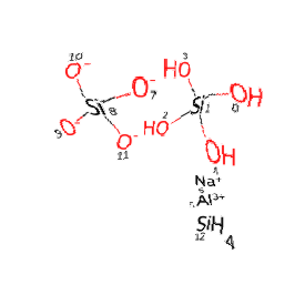 O[Si](O)(O)O.[Al+3].[Na+].[O-][Si]([O-])([O-])[O-].[SiH4]